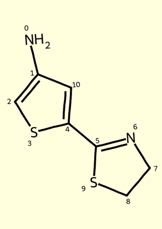 Nc1csc(C2=NCCS2)c1